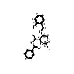 CC(OC(=O)c1ccccc1)[C@H]1O[C@H](C)OC[C@@H]1OCc1ccccc1F